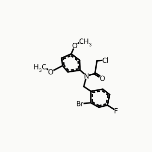 COc1cc(OC)cc(N(Cc2ccc(F)cc2Br)C(=O)CCl)c1